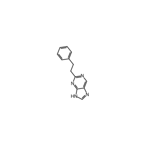 c1ccc(CCc2ncc3nc[nH]c3n2)cc1